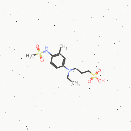 CCN(CCCS(=O)(=O)O)c1ccc(NS(C)(=O)=O)c(C)c1